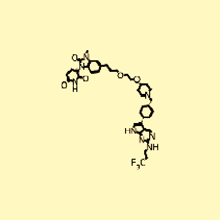 Cn1c(=O)n([C@H]2CCC(=O)NC2=O)c2ccc(CCCOCCOC3CCN(C[C@H]4CC[C@@H](c5c[nH]c6nc(NCCC(F)(F)F)ncc65)CC4)CC3)cc21